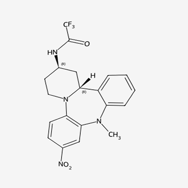 CN1c2ccccc2[C@H]2C[C@H](NC(=O)C(F)(F)F)CCN2c2ccc([N+](=O)[O-])cc21